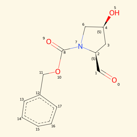 O=C[C@@H]1C[C@H](O)CN1C(=O)OCc1ccccc1